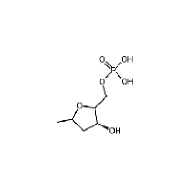 CC1C[C@H](O)C(COP(=O)(O)O)O1